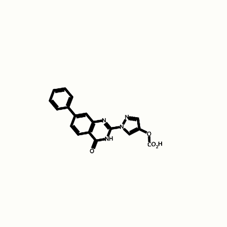 O=C(O)Oc1cnn(-c2nc3cc(-c4ccccc4)ccc3c(=O)[nH]2)c1